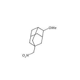 COC1C2CC3CC1CC(C[N+](=O)[O-])(C3)C2